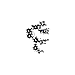 C=C/C(=C\C(=C)COc1cc(OCc2cccc(-c3cccc(COc4cc(OCc5cncc(N=S(C)(C)=O)c5)c(CN[C@H](CCO)C(=O)O)cc4Cl)c3C)c2C)c(Cl)cc1CN[C@H](CCO)C(=O)O)N=S(C)(C)=O